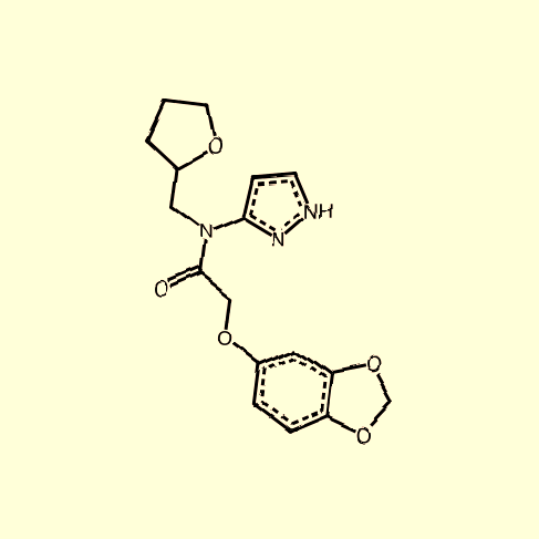 O=C(COc1ccc2c(c1)OCO2)N(CC1CCCO1)c1cc[nH]n1